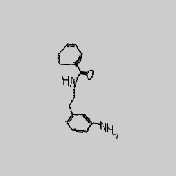 Nc1cccc(CCNC(=O)c2ccccc2)c1